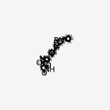 Cn1c(=O)n(C2CCC(=O)NC2=O)c2ccc(N3CCN(C4CN(C5CCN(Cc6ccccc6)CC5(F)F)C4)CC3)cc21